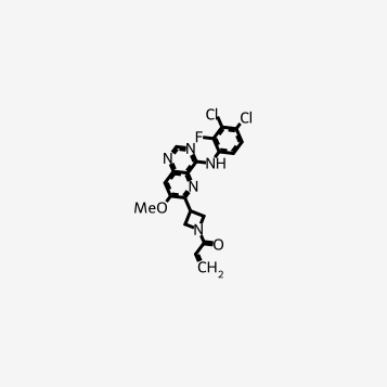 C=CC(=O)N1CC(c2nc3c(Nc4ccc(Cl)c(Cl)c4F)ncnc3cc2OC)C1